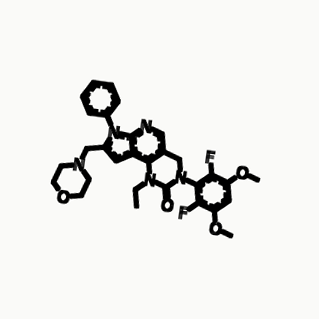 CCN1C(=O)N(c2c(F)c(OC)cc(OC)c2F)Cc2cnc3c(cc(CN4CCOCC4)n3-c3ccccc3)c21